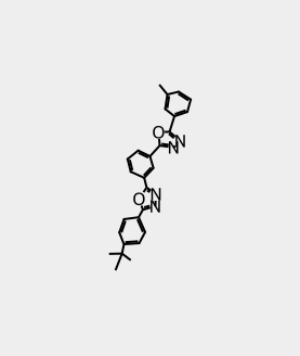 Cc1cccc(-c2nnc(-c3cccc(-c4nnc(-c5ccc(C(C)(C)C)cc5)o4)c3)o2)c1